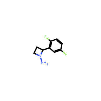 NN1CCC1c1cc(F)ccc1F